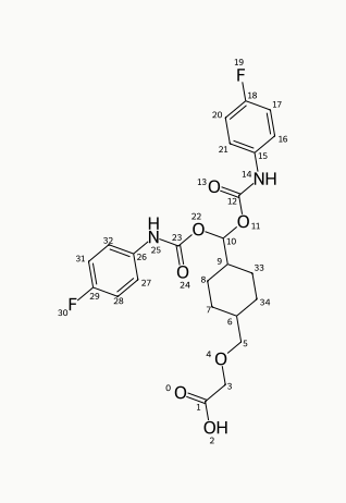 O=C(O)COCC1CCC(C(OC(=O)Nc2ccc(F)cc2)OC(=O)Nc2ccc(F)cc2)CC1